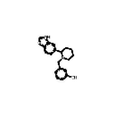 Cc1cccc(CN2CCCCC2c2ccc3nc[nH]c3c2)c1